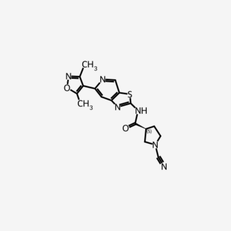 Cc1noc(C)c1-c1cc2nc(NC(=O)[C@H]3CCN(C#N)C3)sc2cn1